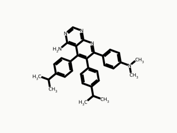 CC(C)c1ccc(-c2c(-c3ccc(N(C)C)cc3)nc3ncnc(N)c3c2-c2ccc(C(C)C)cc2)cc1